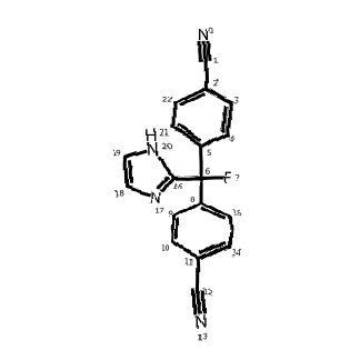 N#Cc1ccc(C(F)(c2ccc(C#N)cc2)c2ncc[nH]2)cc1